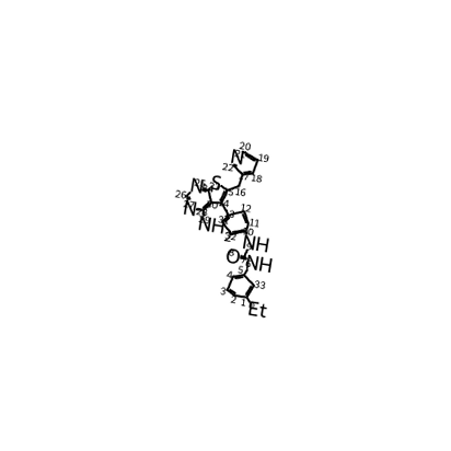 CCc1cccc(NC(=O)Nc2ccc(-c3c(Cc4cccnc4)sc4ncnc(N)c34)cc2)c1